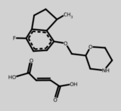 CC1CCc2c(F)ccc(OCC3CNCCO3)c21.O=C(O)C=CC(=O)O